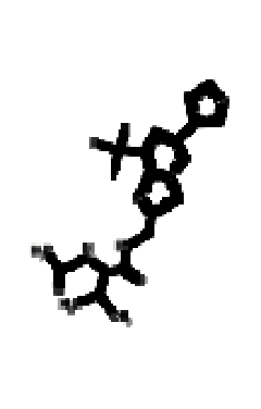 CC(=O)NC(C(=O)NCc1cn2cc(-c3ccoc3)cc(C(F)(F)F)c2n1)C(C)C